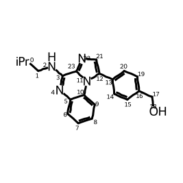 CC(C)CNc1nc2ccccc2n2c(-c3ccc(CO)cc3)cnc12